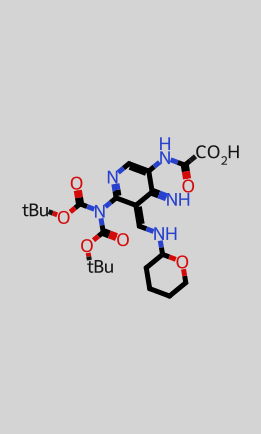 CC(C)(C)OC(=O)N(C(=O)OC(C)(C)C)C1=NC=C(NC(=O)C(=O)O)C(=N)/C1=C\NC1CCCCO1